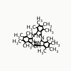 Cc1c(C)c(C)c2c(c1C)C1=NC/2=N\c2c3c(C)c(C)c(C)c(C)c3c3n2B(O)n2c(c4c(C)c(C)c(C)c(C)c4/c2=N/1)=N3